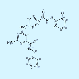 Nc1cc(Nc2[c]cc(C(=O)NCc3ccccc3Cl)cc2)cc(C(=O)NCc2ccccc2)c1